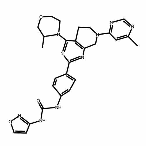 Cc1cc(N2CCc3c(nc(-c4ccc(NC(=O)Nc5ccon5)cc4)nc3N3CCOCC3C)C2)ncn1